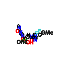 COc1ccc(-c2cnc(C(=O)Nc3ccc(C(=O)N4CCN(C(=O)CN5CCCC5)CC4)c(Cl)c3)n2C)c(F)c1F.O=CO